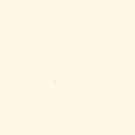 c1ccc(-c2ccccc2N(c2cc3oc4c5ccccc5ccc4c3c3ccccc23)c2cccc3c2oc2ccccc23)cc1